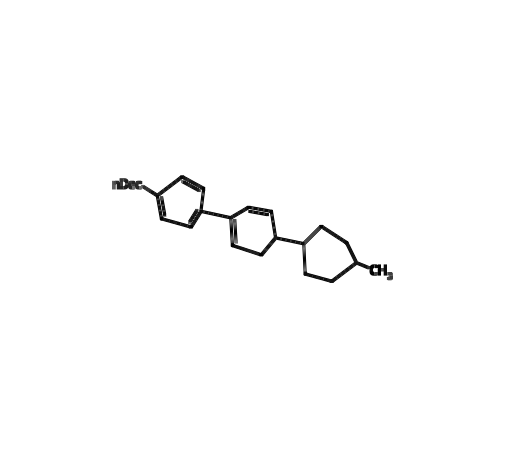 CCCCCCCCCCc1ccc(C2=CCC(C3CCC(C)CC3)C=C2)cc1